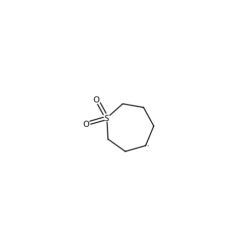 O=S1(=O)CC[CH]CCC1